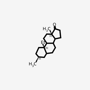 CC[C@]12CC[C@H](C)CC1CCC1C2CC[C@]2(C)C(=O)CCC12